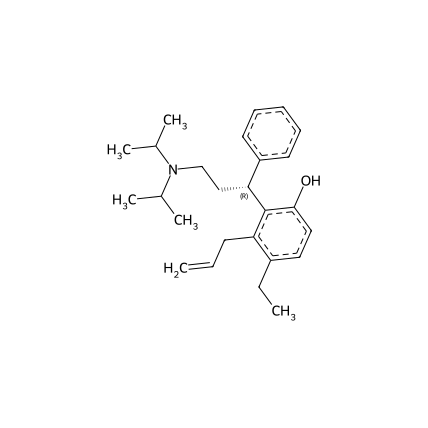 C=CCc1c(CC)ccc(O)c1[C@H](CCN(C(C)C)C(C)C)c1ccccc1